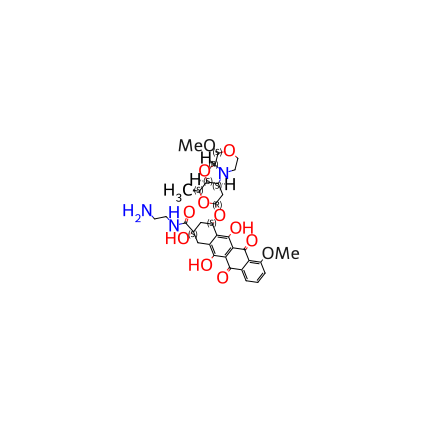 COc1cccc2c1C(=O)c1c(O)c3c(c(O)c1C2=O)C[C@@](O)(C(=O)NCCN)C[C@@H]3O[C@H]1C[C@H]2[C@H](O[C@@H]3[C@@H](OC)OCCN32)[C@H](C)O1